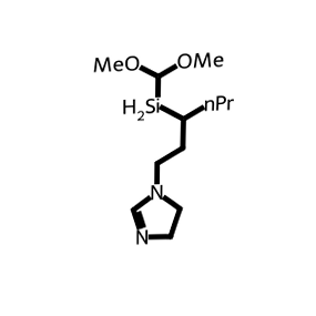 CCCC(CCN1C=NCC1)[SiH2]C(OC)OC